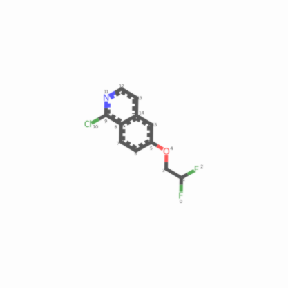 FC(F)COc1ccc2c(Cl)nccc2c1